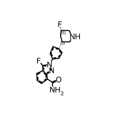 NC(=O)c1cccc2c(F)n(-c3ccc([C@H]4CNC[C@@H](F)C4)cc3)nc12